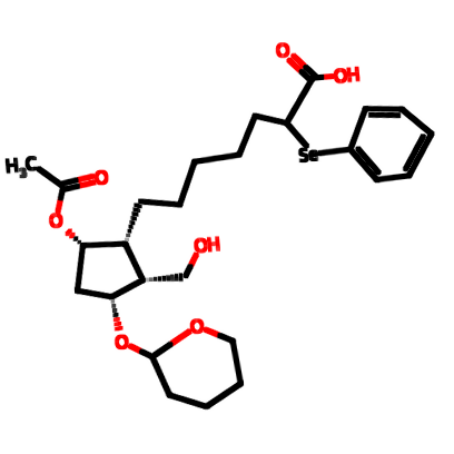 CC(=O)O[C@H]1C[C@@H](OC2CCCCO2)[C@@H](CO)[C@H]1CCCCCC([Se]c1ccccc1)C(=O)O